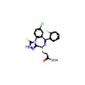 COC(=O)CC[C@@H]1N=C(c2ccccc2F)c2cc(Cl)ccc2-n2c1n[nH]c2=S